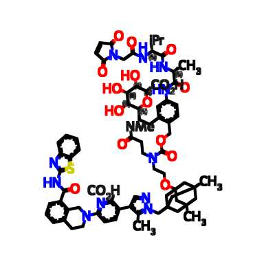 CNC(=O)CCN(CCOC12CC3(C)CC(C)(CC(Cn4ncc(-c5ccc(N6CCc7cccc(C(=O)Nc8nc9ccccc9s8)c7C6)nc5C(=O)O)c4C)(C3)C1)C2)C(=O)OCc1ccc(NC(=O)[C@H](C)NC(=O)[C@@H](NC(=O)CN2C(=O)C=CC2=O)C(C)C)cc1CC[C@@H]1O[C@H](C(=O)O)[C@@H](O)[C@H](O)[C@H]1O